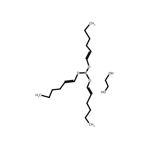 CCCC/C=C/OB(O/C=C/CCCC)O/C=C/CCCC.OCCO